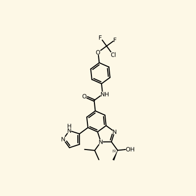 CC(C)n1c([C@H](C)O)nc2cc(C(=O)Nc3ccc(OC(F)(F)Cl)cc3)cc(-c3ccn[nH]3)c21